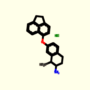 Cl.NC1CCc2ccc(Oc3ccc4c5c(cccc35)CC4)cc2C1C(=O)O